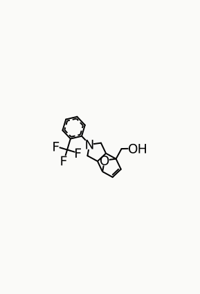 OCC12C=CC(O1)C1CN(c3ccccc3C(F)(F)F)CC12